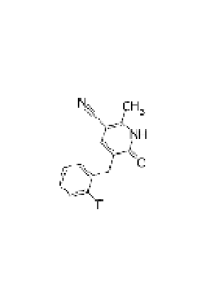 Cc1[nH]c(=O)c(Cc2ccccc2F)cc1C#N